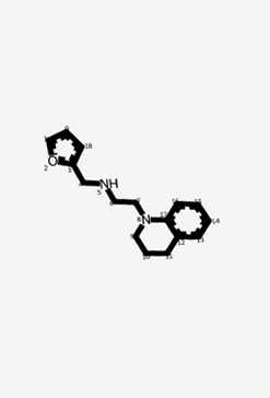 c1coc(CNCCN2CCCc3ccccc32)c1